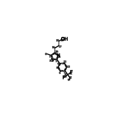 Cc1sc(-c2ccc(C(F)(F)F)cc2)nc1CCCO